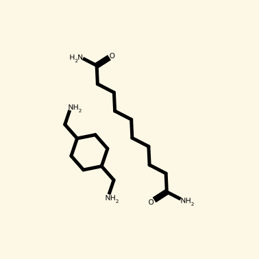 NC(=O)CCCCCCCCC(N)=O.NCC1CCC(CN)CC1